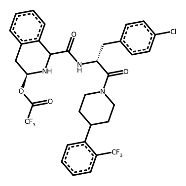 O=C(N[C@H](Cc1ccc(Cl)cc1)C(=O)N1CCC(c2ccccc2C(F)(F)F)CC1)C1N[C@@H](OC(=O)C(F)(F)F)Cc2ccccc21